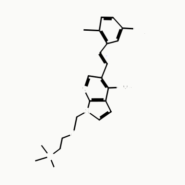 COc1c(/C=C/c2cc(C(=O)O)ccc2C)cnc2c1ccn2COCC[Si](C)(C)C